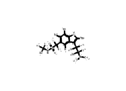 [2H]c1[nH]c2c([2H])c([2H])c(C([2H])([2H])S(=O)(=O)NC([2H])([2H])[2H])c([2H])c2c1C([2H])([2H])C([2H])([2H])N(C)C